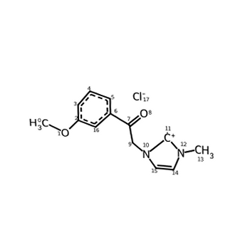 COc1cccc(C(=O)CN2[C+]N(C)C=C2)c1.[Cl-]